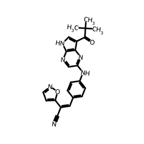 CC(C)(C)C(=O)c1c[nH]c2ncc(Nc3ccc(C=C(C#N)c4ccno4)cc3)nc12